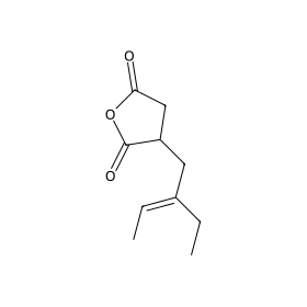 CC=C(CC)CC1CC(=O)OC1=O